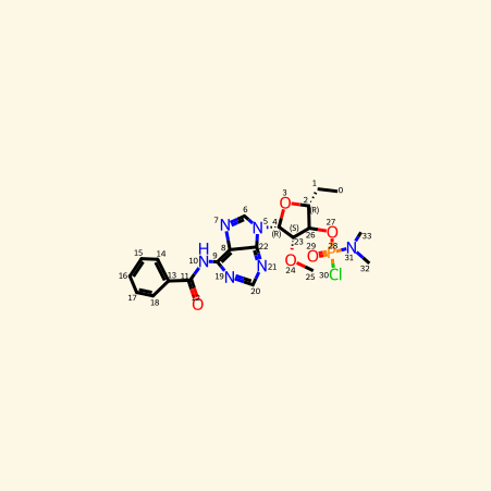 CC[C@H]1O[C@@H](n2cnc3c(NC(=O)c4ccccc4)ncnc32)[C@@H](OC)C1OP(=O)(Cl)N(C)C